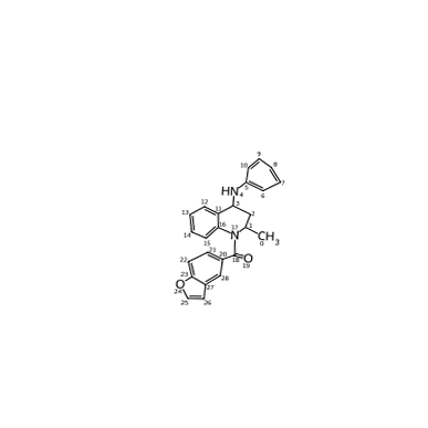 CC1CC(Nc2ccccc2)c2ccccc2N1C(=O)c1ccc2occc2c1